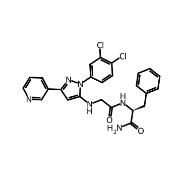 NC(=O)[C@H](Cc1ccccc1)NC(=O)CNc1cc(-c2cccnc2)nn1-c1ccc(Cl)c(Cl)c1